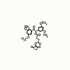 COc1cc(OC)cc(C(=O)C(OC(=O)CCC(=O)ON2C(=O)CCC2=O)c2cc(OC)cc(OC)c2)c1